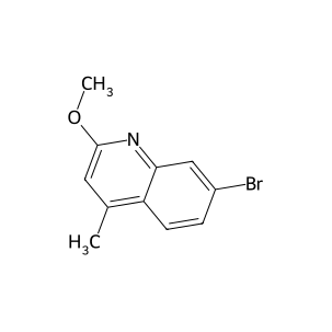 COc1cc(C)c2ccc(Br)cc2n1